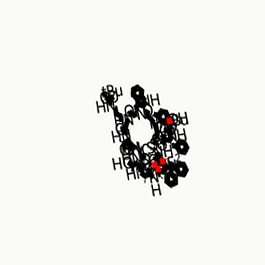 C[C@H](NC(=O)[C@H](C)NC(=O)[C@@H](NC(=O)[C@@H]1CSSC[C@H](NC(=O)[C@@H](Cc2ccccc2)NC(=O)OC(C)(C)C)C(=O)N[C@@H](Cc2ccc(O)cc2)C(=O)N[C@H](Cc2c[nH]c3ccccc23)C(=O)N[C@@H](CCCCNC(=O)OC(C)(C)C)C(=O)N[C@@H]([C@@H](C)O)C(=O)N1)[C@@H](C)O)C(=O)N[C@@H](CSC(c1ccccc1)(c1ccccc1)c1ccccc1)C(N)=O